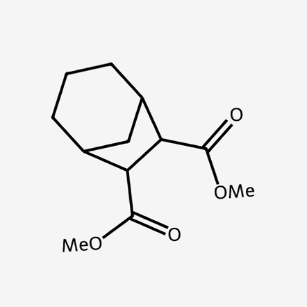 COC(=O)C1C2CCCC(C2)C1C(=O)OC